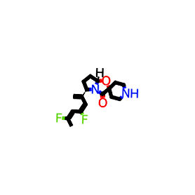 C=C(/C=C(F)\C=C(/C)F)[C@@H]1CC[C@H]2OC3(CCNCC3)C(=O)N21